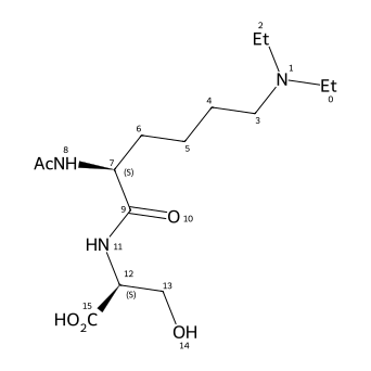 CCN(CC)CCCC[C@H](NC(C)=O)C(=O)N[C@@H](CO)C(=O)O